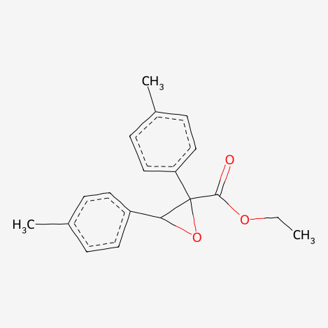 CCOC(=O)C1(c2ccc(C)cc2)OC1c1ccc(C)cc1